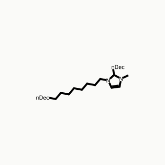 CCCCCCCCCCCCCCCCCCN1C=CN(C)C1CCCCCCCCCC